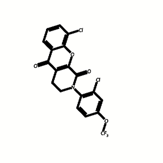 O=C1c2oc3c(Cl)cccc3c(=O)c2CCN1c1ccc(OC(F)(F)F)cc1Cl